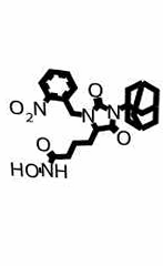 O=C(CCCC1C(=O)N(C23CC4CC(CC(C4)C2)C3)C(=O)N1Cc1ccccc1[N+](=O)[O-])NO